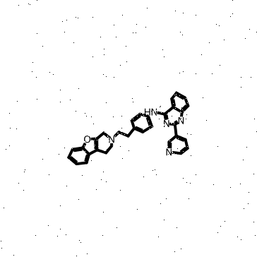 c1cncc(-c2nc(Nc3ccc(CCN4CCc5c(oc6ccccc56)C4)cc3)c3ccccc3n2)c1